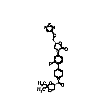 CC1(C)OC[C@@H](C(=O)N2CC=C(c3ccc(N4C[C@H](COc5cnsn5)OC4=O)cc3F)CC2)O1